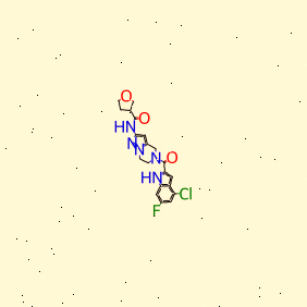 O=C(Nc1cc2n(n1)CCN(C(=O)c1cc3c(Cl)cc(F)cc3[nH]1)C2)C1CCOC1